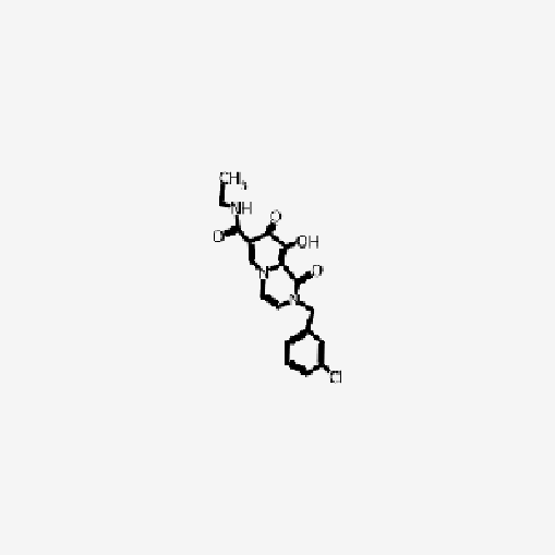 CCNC(=O)c1cn2ccn(Cc3cccc(Cl)c3)c(=O)c2c(O)c1=O